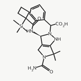 CC1(C)C2=C(CN1C(N)=O)[C@@H](NC(=O)C1([Si](C)(C)C)CCC1)N(C(C(=O)O)c1ccccc1)N2